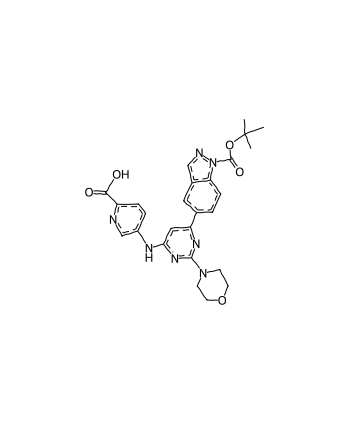 CC(C)(C)OC(=O)n1ncc2cc(-c3cc(Nc4ccc(C(=O)O)nc4)nc(N4CCOCC4)n3)ccc21